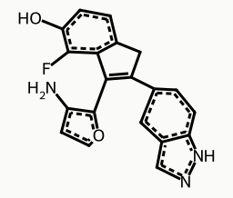 Nc1ccoc1C1=C(c2ccc3[nH]ncc3c2)Cc2ccc(O)c(F)c21